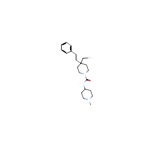 CC(C)CC1(CCc2ccccc2)CCN(C(=O)NC2CCN(C)CC2)CC1